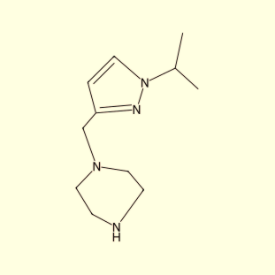 CC(C)n1ccc(CN2CCNCC2)n1